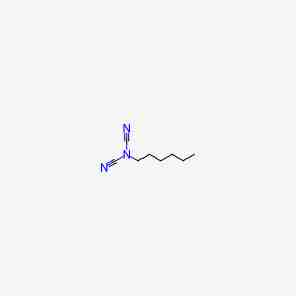 CCCCCCN(C#N)C#N